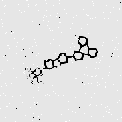 CC1(C)OB(c2ccc3c(c2)oc2cc(-c4ccc5c6ccccc6c6ccccc6c5c4)ccc23)OC1(C)C